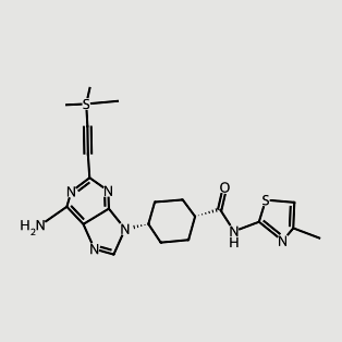 Cc1csc(NC(=O)[C@H]2CC[C@@H](n3cnc4c(N)nc(C#CS(C)(C)C)nc43)CC2)n1